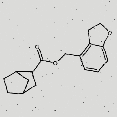 O=C(OCc1cccc2c1CCO2)C1CC2CCC1C2